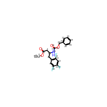 CC(C)(C)OC(=O)CC(Cc1cc(F)c(F)cc1F)NC(=O)OCc1ccccc1